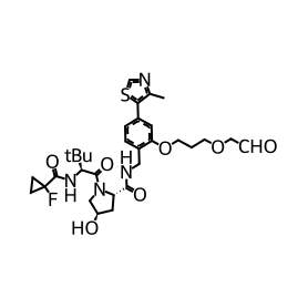 Cc1ncsc1-c1ccc(CNC(=O)[C@@H]2C[C@@H](O)CN2C(=O)[C@@H](NC(=O)C2(F)CC2)C(C)(C)C)c(OCCCOCC=O)c1